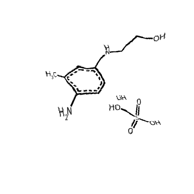 Cc1cc(NCCO)ccc1N.O=S(=O)(O)O.[LiH]